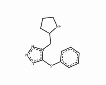 c1ccc(Sc2nnnn2CC2CCCN2)cc1